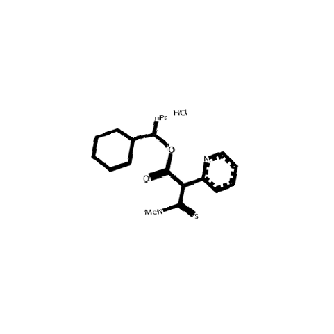 CCCC(OC(=O)C(C(=S)NC)c1ccccn1)C1CCCCC1.Cl